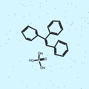 C(=C(c1ccccc1)c1ccccc1)c1ccccc1.O=P(O)(O)O